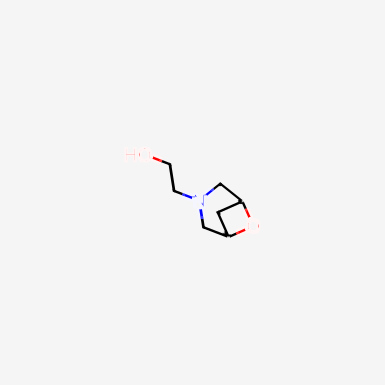 OCCN1CC2CC(C1)O2